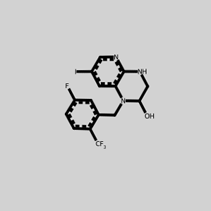 OC1CNc2ncc(I)cc2N1Cc1cc(F)ccc1C(F)(F)F